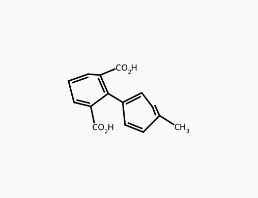 Cc1ccc(-c2c(C(=O)O)cccc2C(=O)O)cc1